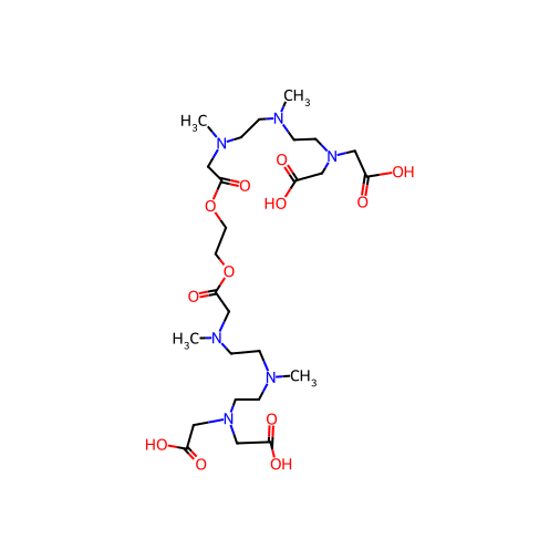 CN(CCN(C)CC(=O)OCCOC(=O)CN(C)CCN(C)CCN(CC(=O)O)CC(=O)O)CCN(CC(=O)O)CC(=O)O